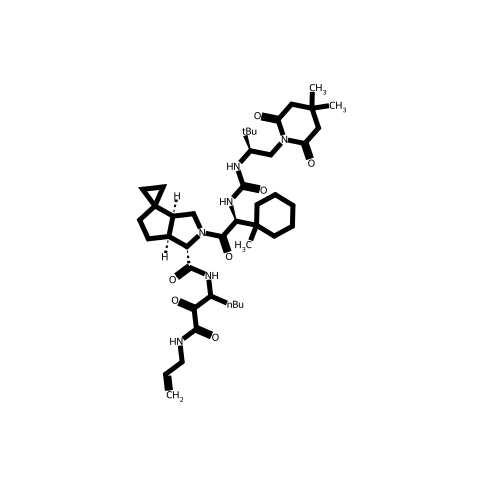 C=CCNC(=O)C(=O)C(CCCC)NC(=O)[C@@H]1[C@H]2CCC3(CC3)[C@H]2CN1C(=O)[C@@H](NC(=O)N[C@H](CN1C(=O)CC(C)(C)CC1=O)C(C)(C)C)C1(C)CCCCC1